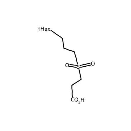 CCCCCCCCCS(=O)(=O)CCC(=O)O